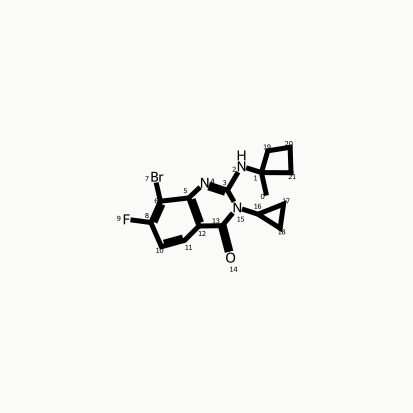 CC1(Nc2nc3c(Br)c(F)ccc3c(=O)n2C2CC2)CCC1